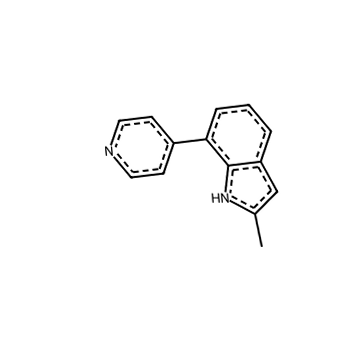 Cc1cc2cccc(-c3ccncc3)c2[nH]1